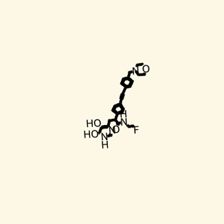 O=C(NCCF)C(CC1=C(O)C(O)NC=N1)c1ccc(C#Cc2ccc(CN3CCOCC3)cc2)cc1